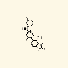 Cc1cc(N[C@@H]2CCCN(C)C2)nnc1-c1ccc2sc(F)c(F)c2c1O